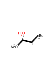 CCCCCCOC(C)=O.O